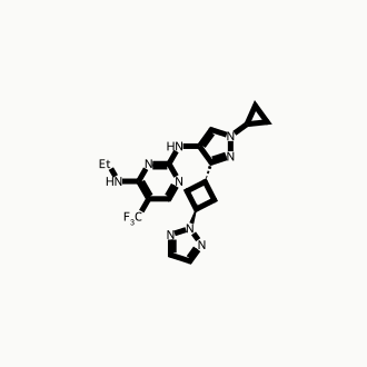 CCNc1nc(Nc2cn(C3CC3)nc2[C@H]2C[C@H](n3nccn3)C2)ncc1C(F)(F)F